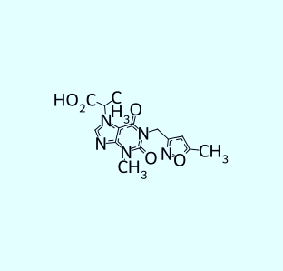 Cc1cc(Cn2c(=O)c3c(ncn3C(C)C(=O)O)n(C)c2=O)no1